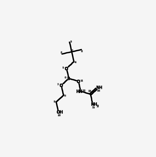 CC(C)(C)COB(OCCO)ONC(=N)N